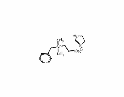 C1=NCCN1.CCCCCCCCCCCC[N+](C)(C)Cc1ccccc1.[Cl-]